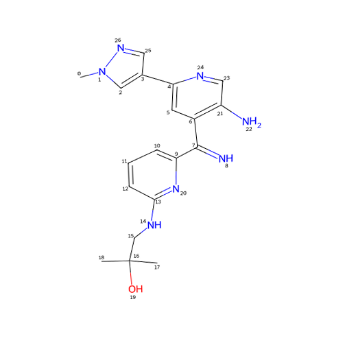 Cn1cc(-c2cc(C(=N)c3cccc(NCC(C)(C)O)n3)c(N)cn2)cn1